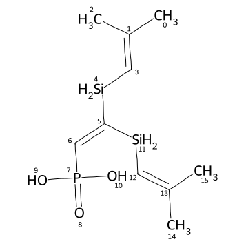 CC(C)=C[SiH2]C(=CP(=O)(O)O)[SiH2]C=C(C)C